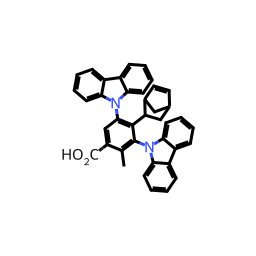 Cc1c(C(=O)O)cc(-n2c3ccccc3c3ccccc32)c(C2CC3C=CC2C3)c1-n1c2ccccc2c2ccccc21